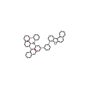 c1ccc(-c2ccccc2N(c2cccc(-c3cccc(-c4cccc5c4oc4ccc6ccccc6c45)c3)c2)c2ccccc2-c2cccc3ccccc23)cc1